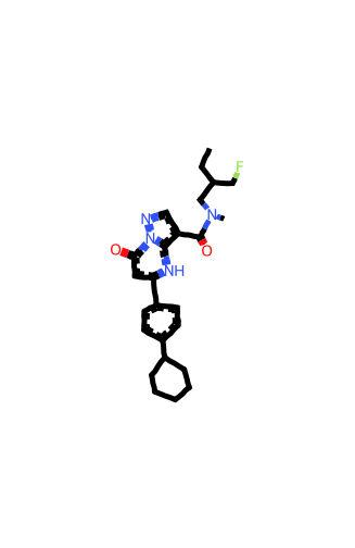 CCC(CF)CN(C)C(=O)c1cnn2c(=O)cc(-c3ccc(C4CCCCC4)cc3)[nH]c12